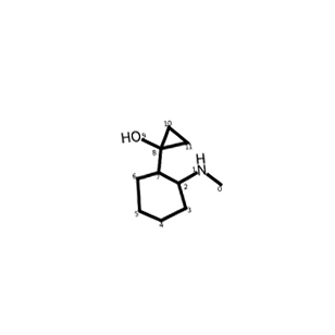 CNC1CCCCC1C1(O)CC1